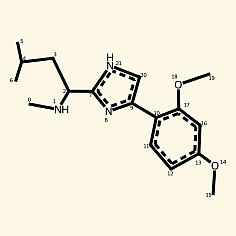 CNC(CC(C)C)c1nc(-c2ccc(OC)cc2OC)c[nH]1